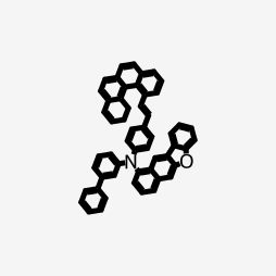 C1=Cc2ccc3ccc4cccc(C=Cc5ccc(N(c6cccc(-c7ccccc7)c6)c6cccc7cc8oc9ccccc9c8cc67)cc5)c4c3c2CC1